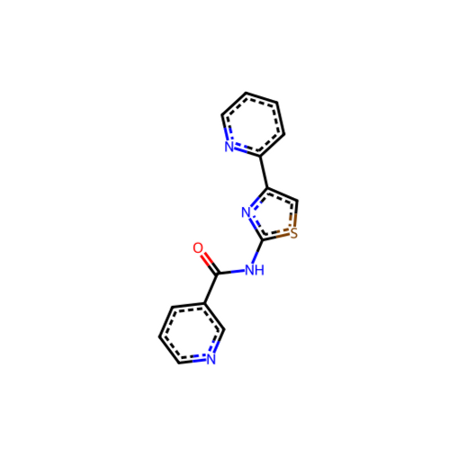 O=C(Nc1nc(-c2ccccn2)cs1)c1cccnc1